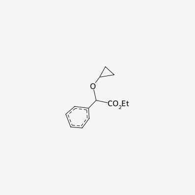 CCOC(=O)C(OC1CC1)c1ccccc1